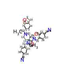 CC(c1ccc2c(c1)OCC2)N1CCC(C(=O)N(C=O)Cc2ccc(C#N)cc2)(N(C)Cc2ccc(C#N)cc2)CC1